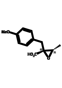 COc1ccc(C[C@@]2(C(=O)O)O[C@H]2C)cc1